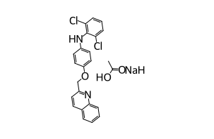 CC(=O)O.Clc1cccc(Cl)c1Nc1ccc(OCc2ccc3ccccc3n2)cc1.[NaH]